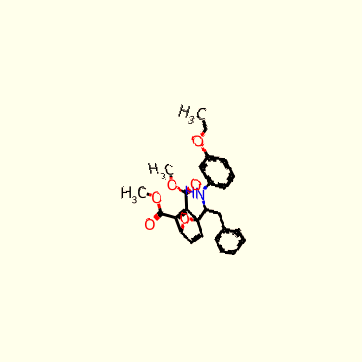 CCOc1cccc(NC(Cc2ccccc2)C23C=CC(O2)C(C(=O)OC)=C3C(=O)OC)c1